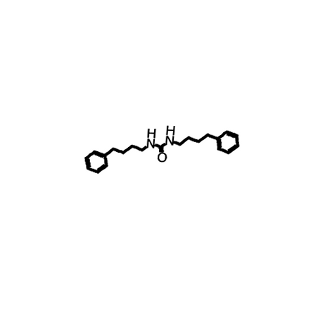 O=C(NCCCCc1ccccc1)NCCCCc1ccccc1